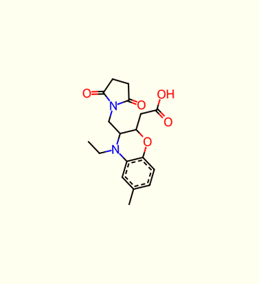 CCN1c2cc(C)ccc2OC(CC(=O)O)C1CN1C(=O)CCC1=O